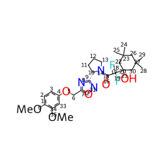 COc1ccc(OCc2nc([C@@H]3CCCN3C(=O)C(F)(F)C3(O)CC(C)(C)CC(C)(C)C3)no2)cc1OC